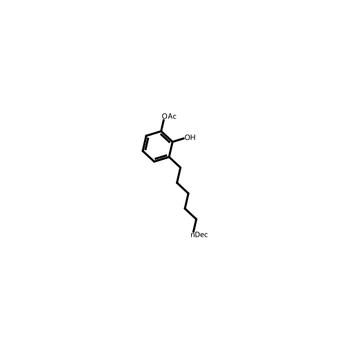 CCCCCCCCCCCCCCCc1cccc(OC(C)=O)c1O